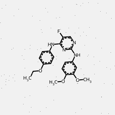 CCOc1ccc(Nc2nc(Nc3ccc(OC)c(OC)c3)ncc2F)cc1